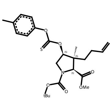 C=CCC[C@]1(C)[C@H](OC(=S)Oc2ccc(C)cc2)CN(C(=O)OC(C)(C)C)[C@@H]1C(=O)OC